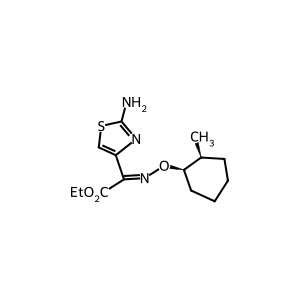 CCOC(=O)C(=NO[C@@H]1CCCC[C@@H]1C)c1csc(N)n1